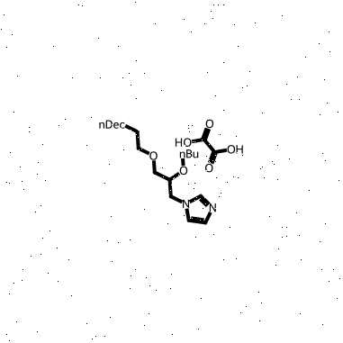 CCCCCCCCCCCCOCC(Cn1ccnc1)OCCCC.O=C(O)C(=O)O